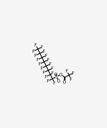 O=C(OS(=O)(=O)C(F)(F)C(F)(F)C(F)(F)C(F)(F)C(F)(F)C(F)(F)C(F)(F)C(F)(F)F)C(F)(F)F